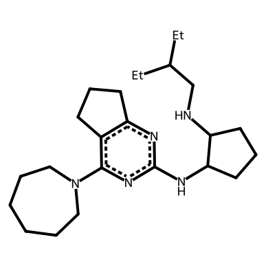 CCC(CC)CNC1CCCC1Nc1nc2c(c(N3CCCCCC3)n1)CCC2